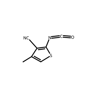 Cc1csc(N=C=O)c1C#N